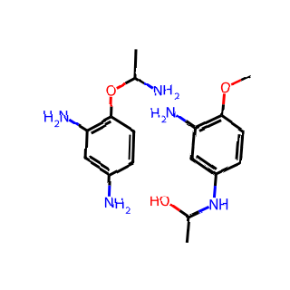 CC(N)Oc1ccc(N)cc1N.COc1ccc(NC(C)O)cc1N